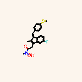 CSc1ccc(/C=C2/C(C)=C(CC(=O)N(C)O)c3cc(F)ccc32)cc1